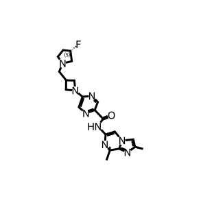 Cc1cn2cc(NC(=O)c3cnc(N4CC(CN5CC[C@H](F)C5)C4)cn3)nc(C)c2n1